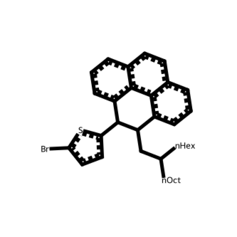 CCCCCCCCC(CCCCCC)CC1c2cccc3ccc4cccc(c4c23)C1c1ccc(Br)s1